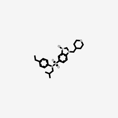 CCc1ccc(N(CC(C)C)S(=O)(=O)c2ccc3c(c2)[S+]([O-])CN3CC2CCOCC2)cc1